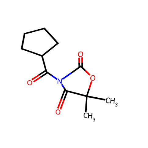 CC1(C)OC(=O)N(C(=O)C2CCCC2)C1=O